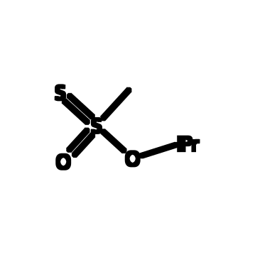 CC(C)OS(C)(=O)=S